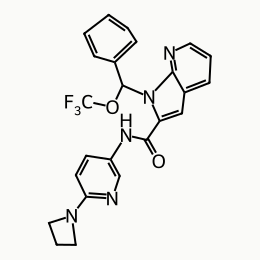 O=C(Nc1ccc(N2CCC2)nc1)c1cc2cccnc2n1C(OC(F)(F)F)c1ccccc1